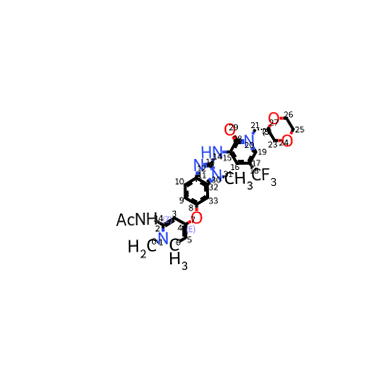 C=N/C(=C\C(=C/C)Oc1ccc2nc(Nc3cc(C(F)(F)F)cn(C[C@H]4COCCO4)c3=O)n(C)c2c1)NC(C)=O